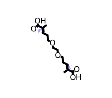 C/C(=C\CCOCCOCC/C=C(\C)C(=O)O)C(=O)O